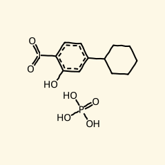 O=I(=O)c1ccc(C2CCCCC2)cc1O.O=P(O)(O)O